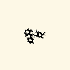 OC1CCCc2nc3ccccc3c(NCc3ccc(F)cc3F)c21